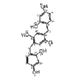 Oc1ccc(Cc2cc(Cl)c(Cc3ccc(O)cc3O)cc2O)c(O)c1